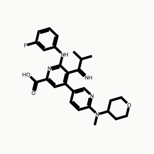 CC(C)C(=N)c1c(-c2ccc(N(C)C3CCOCC3)nc2)cc(C(=O)O)nc1Nc1cccc(F)c1